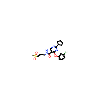 CS(=O)(=O)C=CCNC(=O)c1cnc(C2CCCC2)nc1Oc1cccc(Cl)c1